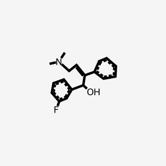 CN(C)CC=C(c1ccccc1)C(O)c1cccc(F)c1